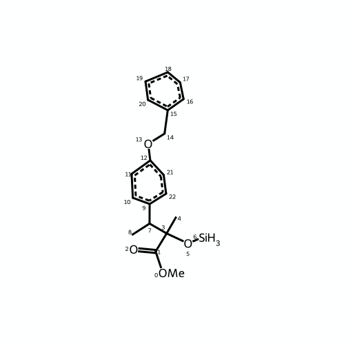 COC(=O)C(C)(O[SiH3])C(C)c1ccc(OCc2ccccc2)cc1